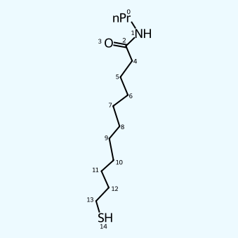 CCCNC(=O)CCCCCCCCCCS